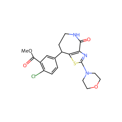 COC(=O)c1cc(C2CCNC(=O)c3nc(N4CCOCC4)sc32)ccc1Cl